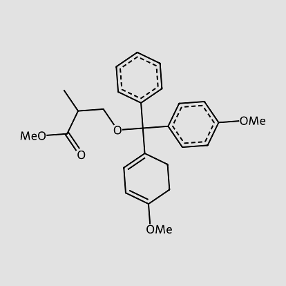 COC(=O)C(C)COC(C1=CC=C(OC)CC1)(c1ccccc1)c1ccc(OC)cc1